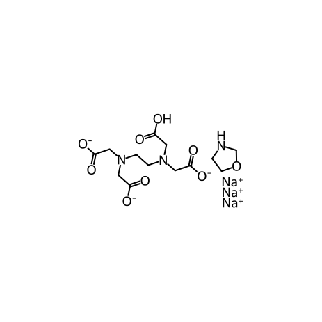 C1COCN1.O=C([O-])CN(CCN(CC(=O)[O-])CC(=O)O)CC(=O)[O-].[Na+].[Na+].[Na+]